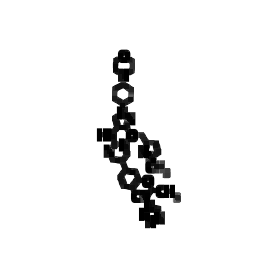 CC(Cn1cnnn1)Oc1cc(-c2cnc(Nc3cn(C4CCC(N5CCOCC5)CC4)nc3OCc3ccn(C)n3)nc2)ccc1C#N